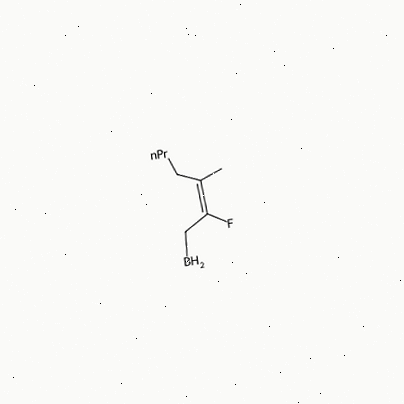 BC/C(F)=C(/C)CCCC